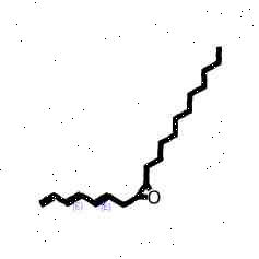 C=C/C=C/C=C/CC1OC1CCCCCCCCCCC